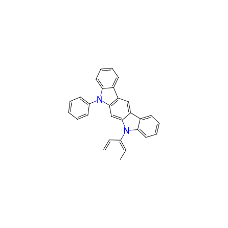 C=C/C(=C\C)n1c2ccccc2c2cc3c4ccccc4n(-c4ccccc4)c3cc21